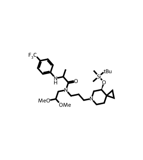 COC(CN(CCCN1CCC2(CC2)[C@H](O[Si](C)(C)C(C)(C)C)C1)C(=O)C(C)Nc1ccc(C(F)(F)F)cc1)OC